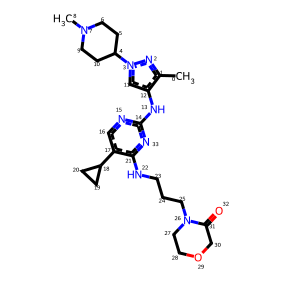 Cc1nn(C2CCN(C)CC2)cc1Nc1ncc(C2CC2)c(NCCCN2CCOCC2=O)n1